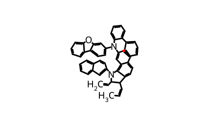 C=CC1C(/C=C\C)c2ccc3ccc(N(c4ccc5c(c4)oc4ccccc45)c4ccccc4-c4ccccc4)cc3c2N1c1ccc2ccccc2c1